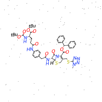 Cn1nnnc1SCC1=C(C(=O)OC(c2ccccc2)c2ccccc2)N2C(=O)[C@@H](NC(=O)Cc3ccc(NC(=O)CC[C@@H](NC(=O)OC(C)(C)C)C(=O)OC(C)(C)C)cc3)[C@H]2SC1